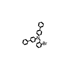 Brc1ccccc1CN(c1ccc(-c2ccccc2)cc1)c1ccc(-c2ccccc2)cc1